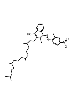 CC(=CCc1c(C)c(N=Nc2ccc([N+](=O)[O-])cc2C)c2ccccc2c1O)CCCC(C)CCCC(C)CCCC(C)C